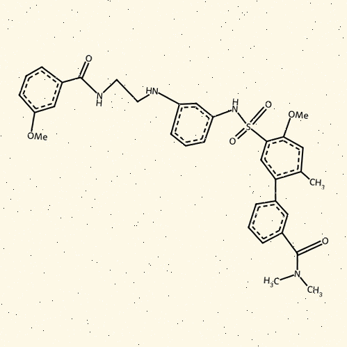 COc1cccc(C(=O)NCCNc2cccc(NS(=O)(=O)c3cc(-c4cccc(C(=O)N(C)C)c4)c(C)cc3OC)c2)c1